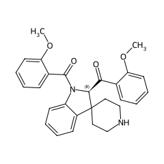 COc1ccccc1C(=O)[C@@H]1N(C(=O)c2ccccc2OC)c2ccccc2C12CCNCC2